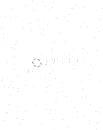 CC1CN(CCCC2CCCCC2)CCC1(C)c1cccc(O)c1